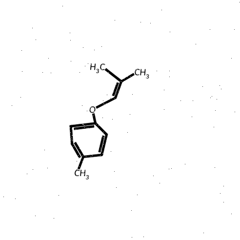 CC(C)=COc1ccc(C)cc1